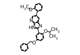 COc1ccccc1-c1cnc2[nH]c(-c3cc(OCc4ccccc4)ccc3OC(C)C)nc2c1